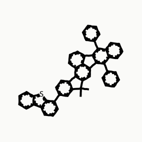 CC1(C)c2cc(-c3cccc4c3sc3ccccc34)ccc2-c2c1cc1c3c(cccc23)-c2c-1c(-c1ccccc1)c1ccccc1c2-c1ccccc1